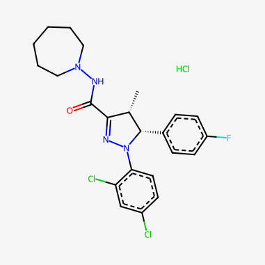 C[C@H]1C(C(=O)NN2CCCCCC2)=NN(c2ccc(Cl)cc2Cl)[C@H]1c1ccc(F)cc1.Cl